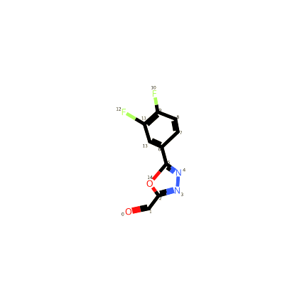 O=Cc1nnc(-c2ccc(F)c(F)c2)o1